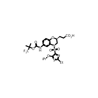 CCc1nc(S(=O)(=O)N2C[C@H](CCC(=O)O)Oc3ccc(NC(=O)OC(C)(C)C(F)(F)F)cc32)c(OC(C)C)s1